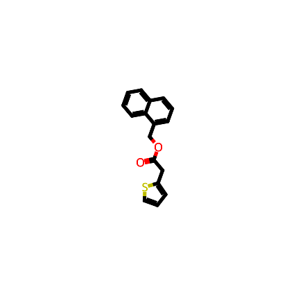 O=C(Cc1cccs1)OCc1cccc2ccccc12